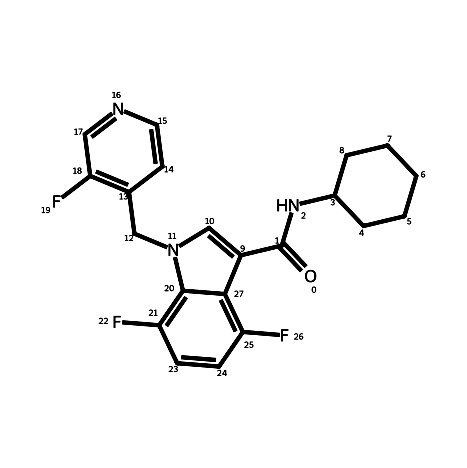 O=C(NC1CCCCC1)c1cn(Cc2ccncc2F)c2c(F)ccc(F)c12